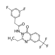 CCc1nc2cc(C(F)(F)F)ccc2c(=O)n1NC(=O)Cc1cc(F)cc(F)c1